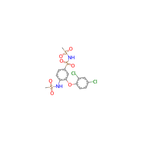 CS(=O)(=O)Nc1ccc(S(=O)(=O)NS(C)(=O)=O)cc1Oc1ccc(Cl)cc1Cl